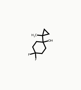 CC1(C2(O)CCC(F)(F)CC2)CC1